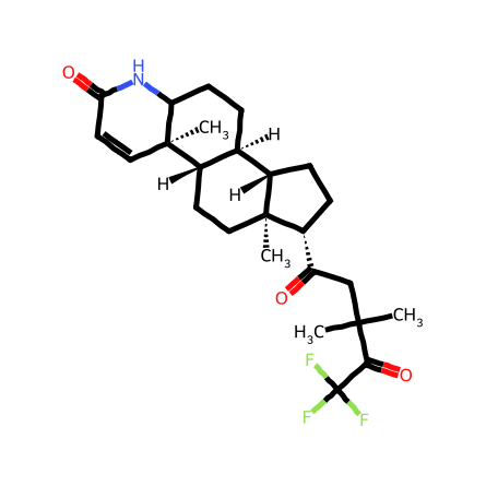 CC(C)(CC(=O)[C@H]1CC[C@H]2[C@@H]3CCC4NC(=O)C=C[C@]4(C)[C@H]3CC[C@]12C)C(=O)C(F)(F)F